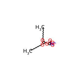 CCCCCCCCCCCCOc1cc(COc2ccc([N+](=O)[O-])c(C=O)c2)cc(OCCCCCCCCCCCC)c1